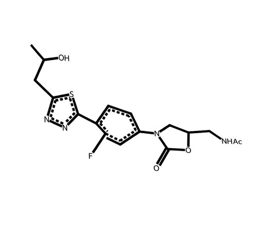 CC(=O)NCC1CN(c2ccc(-c3nnc(CC(C)O)s3)c(F)c2)C(=O)O1